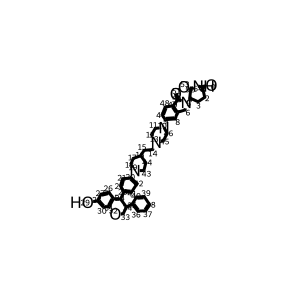 O=C1CC[C@H](N2Cc3cc(N4CCN(CCC5CCN(c6ccc(C7c8ccc(O)cc8OCC7c7ccccc7)cc6)CC5)CC4)ccc3C2=O)C(=O)N1